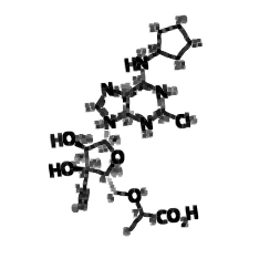 C#C[C@@]1(O)[C@@H](COC(C)C(=O)O)O[C@@H](n2cnc3c(NC4CCCC4)nc(Cl)nc32)[C@@H]1O